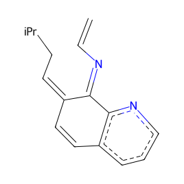 C=C/N=C1\C(=C/CC(C)C)C=Cc2cccnc21